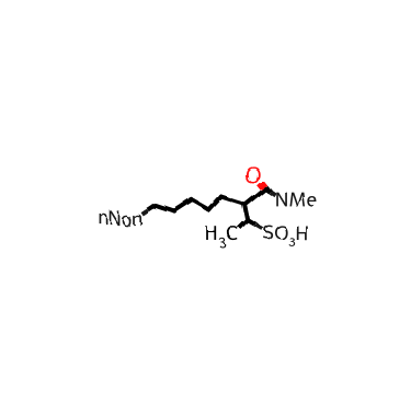 CCCCCCCCCCCCCCC(C(=O)NC)C(C)S(=O)(=O)O